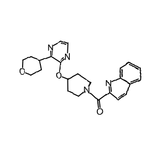 O=C(c1ccc2ccccc2n1)N1CCC(Oc2nccnc2C2CCOCC2)CC1